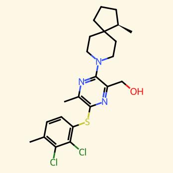 Cc1ccc(Sc2nc(CO)c(N3CCC4(CCC[C@H]4C)CC3)nc2C)c(Cl)c1Cl